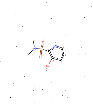 CN(C)S(=O)(=O)c1ncc[c]c1O